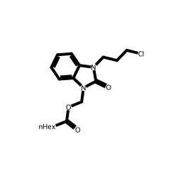 CCCCCCC(=O)OCn1c(=O)n(CCCCl)c2ccccc21